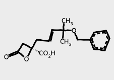 CC(C)(/C=C/C[C@]1(C(=O)O)CC(=O)O1)OCc1ccccc1